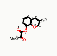 COC(=O)C(=O)Oc1cccc2c1OCC(C#N)=C2